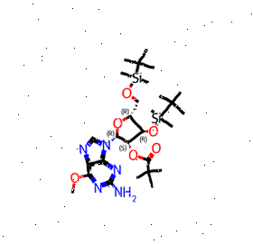 COc1nc(N)nc2c1ncn2[C@@H]1O[C@H](CO[Si](C)(C)C(C)(C)C)[C@@H](O[Si](C)(C)C(C)(C)C)[C@@H]1OC(=O)C(C)(C)C